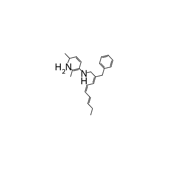 CC/C=C/C=C\C=C(/CNC(/C=C\C(C)C)=C(\C)N)Cc1ccccc1